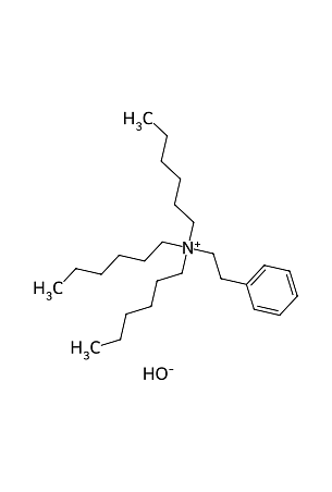 CCCCCC[N+](CCCCCC)(CCCCCC)CCc1ccccc1.[OH-]